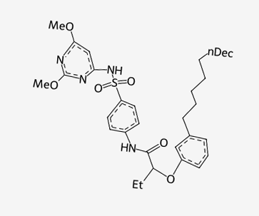 CCCCCCCCCCCCCCCc1cccc(OC(CC)C(=O)Nc2ccc(S(=O)(=O)Nc3cc(OC)nc(OC)n3)cc2)c1